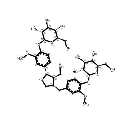 COc1cc(C[C@H]2CO[C@H](c3ccc(O[C@@H]4O[C@H](CO)[C@@H](O)[C@H](O)[C@H]4O)c(OC)c3)[C@H]2CO)ccc1O[C@@H]1O[C@H](CO)[C@@H](O)[C@H](O)[C@H]1O